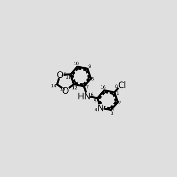 Clc1c[c]nc(Nc2cccc3c2OCO3)c1